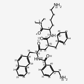 CN(C)C(=O)C(CCCCN)NC(=O)[C@H](CC(=O)[C@H](Cc1ccc2ccccc2c1)NC(=O)c1cccc(CN)c1)Cc1ccccc1